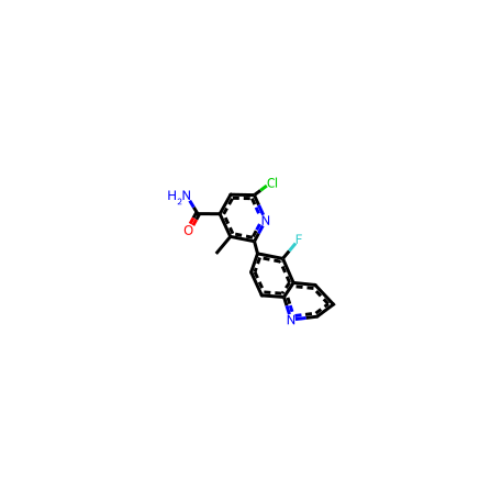 Cc1c(C(N)=O)cc(Cl)nc1-c1ccc2ncccc2c1F